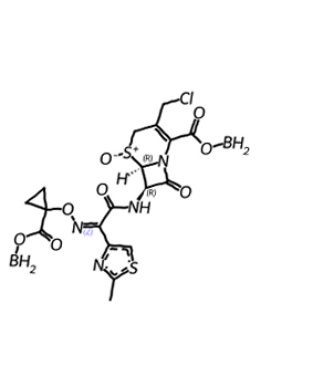 BOC(=O)C1=C(CCl)C[S+]([O-])[C@@H]2[C@H](NC(=O)/C(=N\OC3(C(=O)OB)CC3)c3csc(C)n3)C(=O)N12